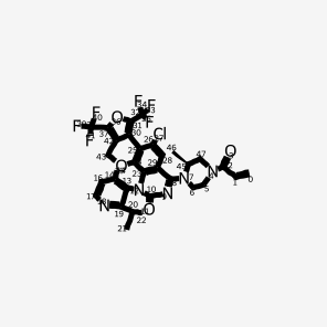 C=CC(=O)N1CCN(c2nc(=O)n(-c3c(C)ccnc3C(C)C)c3c4c(c(Cl)cc23)-c2c(C(F)(F)F)oc(C(F)(F)F)c2CO4)[C@@H](C)C1